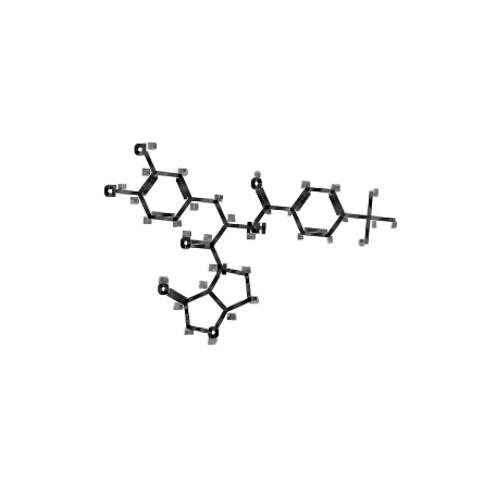 CC(C)(C)c1ccc(C(=O)NC(Cc2ccc(Cl)c(Cl)c2)C(=O)N2CCC3OCC(=O)C32)cc1